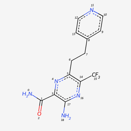 NC(=O)c1nc(CCc2ccncc2)c(C(F)(F)F)nc1N